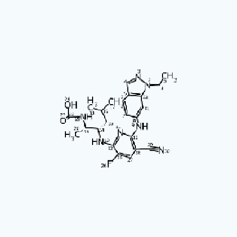 CCn1ncc2ccc(Nc3nc(N[C@@H](CC(C)C)[C@H](C)NC(=O)O)c(F)cc3C#N)cc21